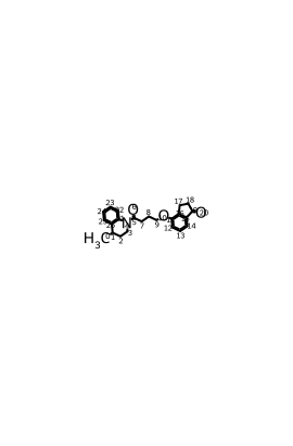 CC1CCN(C(=O)CCCOc2cccc3c2CCC3=O)c2ccccc21